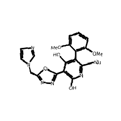 CCCCc1nc(O)c(-c2nnc(Cn3ccnc3)o2)c(O)c1-c1c(OC)cccc1OC